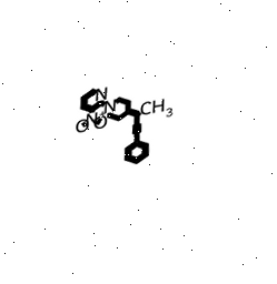 CC(C#Cc1ccccc1)=C1CCN(c2ncccc2[N+](=O)[O-])CC1